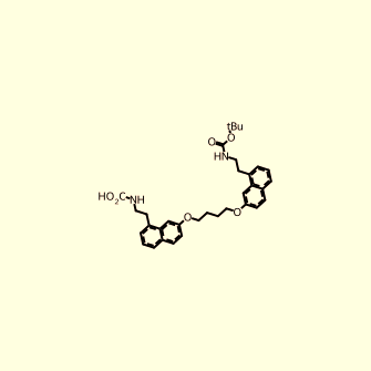 CC(C)(C)OC(=O)NCCc1cccc2ccc(OCCCCOc3ccc4cccc(CCNC(=O)O)c4c3)cc12